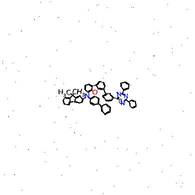 CC1(C)c2ccccc2-c2ccc(N(c3ccc(-c4ccccc4)cc3)c3cccc4c3oc3c(-c5cccc(C6=NC(c7ccccc7)=NC(c7ccccc7)=NC6)c5)cccc34)cc21